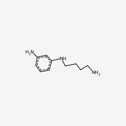 NCCCCNc1cccc(N)c1